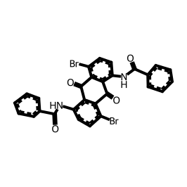 O=C(Nc1ccc(Br)c2c1C(=O)c1c(Br)ccc(NC(=O)c3ccccc3)c1C2=O)c1ccccc1